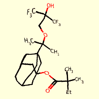 CCC(C)(C)C(=O)OC12CC3CC(C1)CC(C(C)(C)OCC(O)(C(F)(F)F)C(F)(F)F)(C3)C2